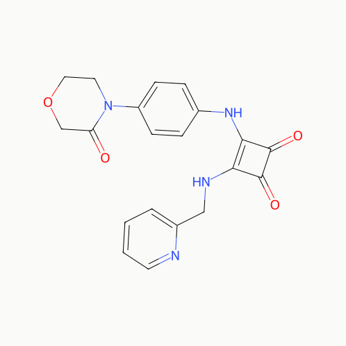 O=C1COCCN1c1ccc(Nc2c(NCc3ccccn3)c(=O)c2=O)cc1